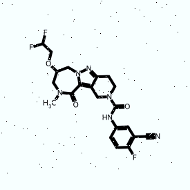 CN1CC(OCC(F)F)Cn2nc3c(c2C1=O)CN(C(=O)Nc1ccc(F)c(C#N)c1)CC3